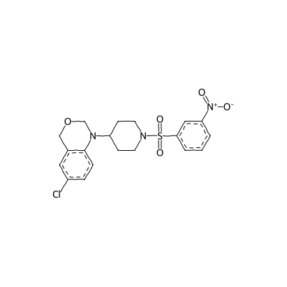 O=[N+]([O-])c1cccc(S(=O)(=O)N2CCC(N3COCc4cc(Cl)ccc43)CC2)c1